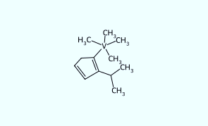 CC(C)C1=[C]([V]([CH3])([CH3])([CH3])[CH3])CC=C1